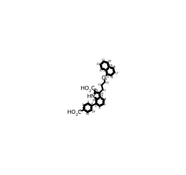 O=C(O)c1ccc(-c2cccc3c(CCCOc4cccc5ccccc45)c(C(=O)O)[nH]c23)cc1